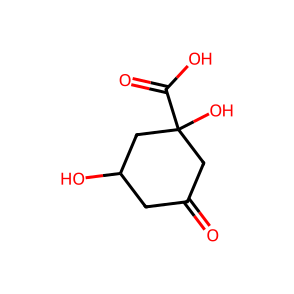 O=C1CC(O)CC(O)(C(=O)O)C1